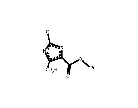 CC(C)OC(=O)c1sc(Cl)nc1C(=O)O